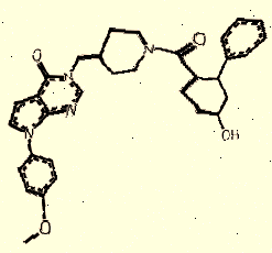 COc1ccc(-n2ccc3c(=O)n(CC4CCN(C(=O)C5CCC(O)CC5c5ccccc5)CC4)cnc32)cc1